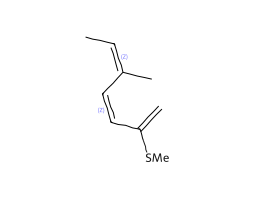 C=C(/C=C\C(C)=C/C)SC